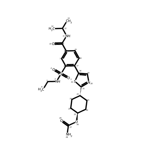 CCNS(=O)(=O)c1cc(C(=O)NC(C)C)ccc1-c1cnc([C@H]2CC[C@H](OC(N)=O)CC2)s1